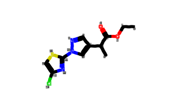 CCOC(=O)C(C)c1cnn(-c2nc(Cl)cs2)c1